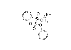 O=S(=O)(Oc1ccccc1)S(=O)(=O)c1ccccc1.[AlH3].[KH]